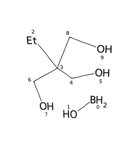 BO.CCC(CO)(CO)CO